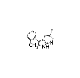 Cc1ccccc1-c1c[nH]c2ncc(F)cc12